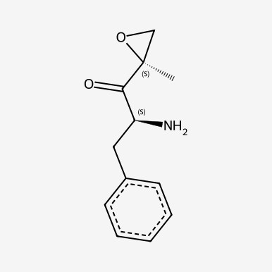 C[C@@]1(C(=O)[C@@H](N)Cc2ccccc2)CO1